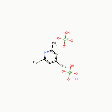 Cc1cc(C)nc(C)c1.I.[O-][Cl+3]([O-])([O-])O.[O-][Cl+3]([O-])([O-])O